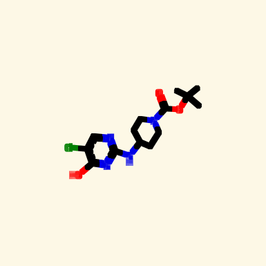 CC(C)(C)OC(=O)N1CCC(Nc2ncc(Cl)c(O)n2)CC1